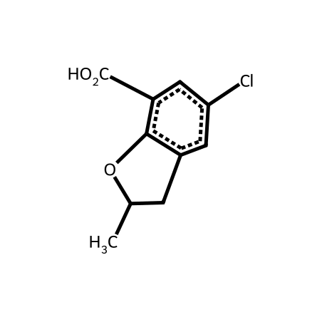 CC1Cc2cc(Cl)cc(C(=O)O)c2O1